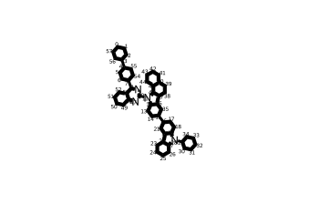 c1ccc(-c2ccc(-c3nc(-n4c5ccc(-c6ccc7c(c6)c6ccccc6n7-c6ccccc6)cc5c5ccc6ccccc6c54)nc4ccccc34)cc2)cc1